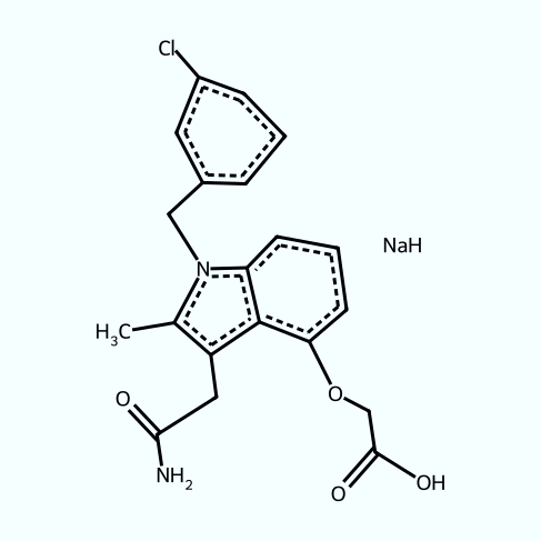 Cc1c(CC(N)=O)c2c(OCC(=O)O)cccc2n1Cc1cccc(Cl)c1.[NaH]